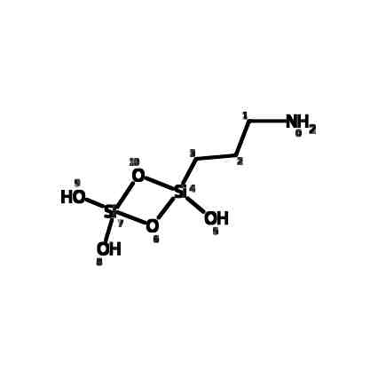 NCCC[Si]1(O)O[Si](O)(O)O1